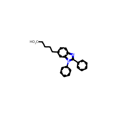 O=C(O)CCCCc1ccc2nc(-c3ccccc3)n(-c3ccccc3)c2c1